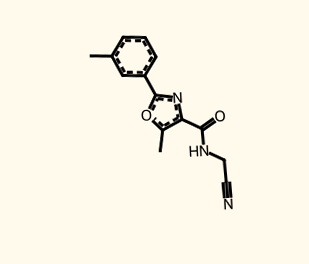 Cc1cccc(-c2nc(C(=O)NCC#N)c(C)o2)c1